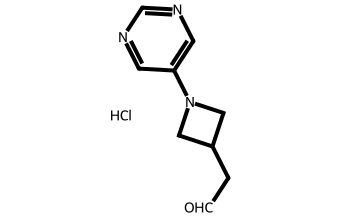 Cl.O=CCC1CN(c2cncnc2)C1